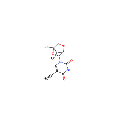 C#Cc1cn(C2OC3(CC)COC2C3C)c(=O)[nH]c1=O